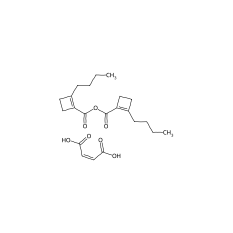 CCCCC1=C(C(=O)OC(=O)C2=C(CCCC)CC2)CC1.O=C(O)/C=C\C(=O)O